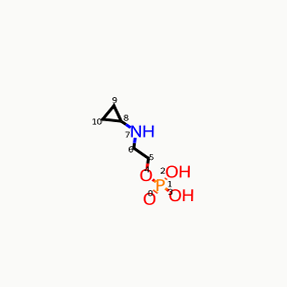 O=P(O)(O)OCCNC1CC1